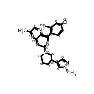 Cc1cnc2c(-c3ccc(Cl)cc3F)nc(N3CCCC(c4cnn(C)c4)C3)nc2n1